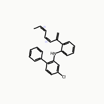 C=C(/C=C\C=C/C)c1ccccc1Nc1cc(Cl)ccc1-c1ccccc1